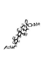 COC(=O)N1CCN(c2c(F)cc(C3C[C@H](CNC(C)=O)OC3=O)cc2F)CC1